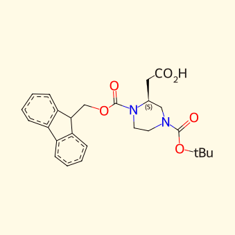 CC(C)(C)OC(=O)N1CCN(C(=O)OCC2c3ccccc3-c3ccccc32)[C@@H](CC(=O)O)C1